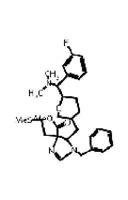 COC(=O)C1(CCSC)N=CN(Cc2ccccc2)C1CC1CCC(C(c2cccc(F)c2)N(C)C)CC1